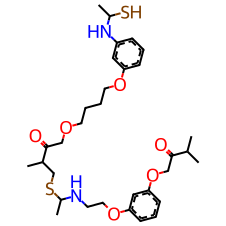 CC(S)Nc1cccc(OCCCCOCC(=O)C(C)CSC(C)NCCOc2cccc(OCC(=O)C(C)C)c2)c1